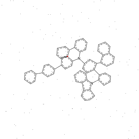 c1ccc(-c2ccc(-c3ccc(N(c4ccc(-c5ccccc5-n5c6ccccc6c6ccccc65)c(-c5cccc6ccccc56)c4)c4ccccc4-c4ccccc4)cc3)cc2)cc1